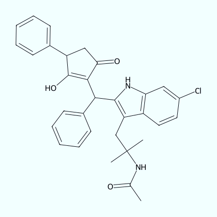 CC(=O)NC(C)(C)Cc1c(C(C2=C(O)C(c3ccccc3)CC2=O)c2ccccc2)[nH]c2cc(Cl)ccc12